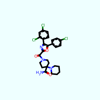 NC(=O)C1(N2CCCCC2)CCN(C(=O)c2nc(-c3ccc(Cl)cc3Cl)c(-c3ccc(Cl)cc3)o2)CC1